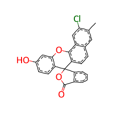 Cc1cc2ccc3c(c2cc1Cl)Oc1cc(O)ccc1C31OC(=O)c2ccccc21